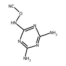 N#CONc1nc(N)nc(N)n1